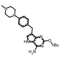 CCCCOc1nc(N)c2[nH]cc(Cc3ccc(N4CCN(C)CC4)cc3)c2n1